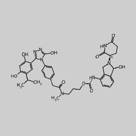 CC(C)c1cc(-c2nnc(O)n2-c2ccc(CC(=O)N(C)CCCOC(=O)Nc3cccc4c3CN([C@@H]3CCC(=O)NC3=O)C4O)cc2)c(O)cc1O